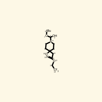 CC(C)(C)OC(O)N1CCC2(CC1)CC(OCC(F)(F)F)=NO2